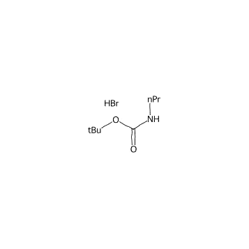 Br.CCCNC(=O)OC(C)(C)C